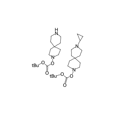 CC(C)(C)OC(=O)ON1CCC2(CC1)CCN(C1CC1)CC2.CC(C)(C)OC(=O)ON1CCC2(CCNCC2)CC1